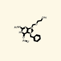 CC(=O)Nc1nc2c(c(=O)[nH]1)n(Cc1ccccc1)c[n+]2COCCOC(C)=O.CC(=O)[O-]